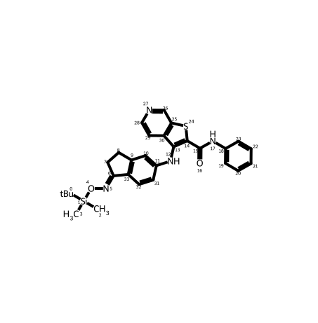 CC(C)(C)[Si](C)(C)ON=C1CCc2cc(Nc3c(C(=O)Nc4ccccc4)sc4cnccc34)ccc21